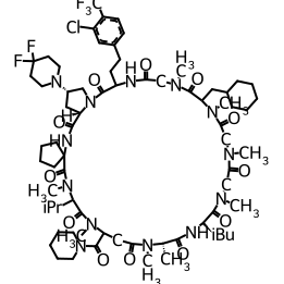 CC[C@H](C)C1NC(=O)[C@H](C)N(C)C(=O)CC(C(=O)N2CCCCC2)N(C)C(=O)C(C(C)C)N(C)C(=O)C2(CCCC2)NC(=O)[C@@H]2C[C@H](N3CCC(F)(F)CC3)CN2C(=O)C(CCc2ccc(C(F)(F)F)c(Cl)c2)NC(=O)CN(C)C(=O)C(CC2CCCCC2)N(C)C(=O)CN(C)C(=O)CN(C)C1=O